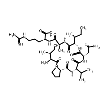 CC[C@H](C)[C@H](N)C(=O)N1CCC[C@H]1C(=O)N[C@H](C(=O)N[C@@H](CC(N)=O)C(=O)N[C@H](C(=O)N[C@@H](C)C(=O)N[C@@H](CCCNC(=N)N)C(=O)O)[C@@H](C)CC)C(C)C